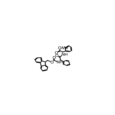 COC(=O)[C@@H](NC(=O)C(NC(=O)OCC1c2ccccc2-c2ccccc21)c1ccccc1)c1ccccc1